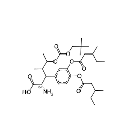 CCC(C)CC(=O)Oc1ccc(C(C(C)C(C)OC(=O)OCC(C)(C)C)[C@H](N)C(=O)O)cc1OC(=O)CC(C)CC